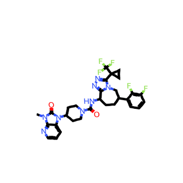 Cn1c(=O)n(C2CCN(C(=O)NC3CCC(c4cccc(F)c4F)Cn4c3nnc4C3(C(F)(F)F)CC3)CC2)c2cccnc21